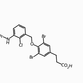 CCCNc1cccc(COc2c(Br)cc(CCC(=O)O)cc2Br)c1Cl